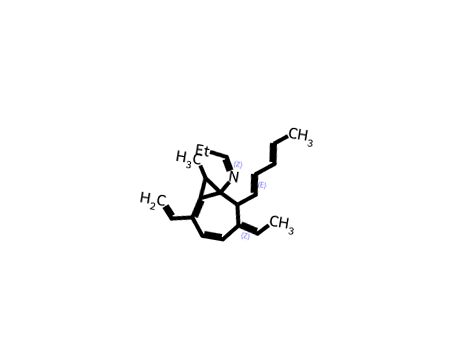 C=CC1=C2C(C)C2(/N=C\CC)C(/C=C/C=CC)/C(=C\C)C=C1